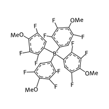 COc1c(F)cc([B-](c2cc(F)c(OC)c(F)c2F)(c2cc(F)c(OC)c(F)c2F)c2cc(F)c(OC)c(F)c2F)c(F)c1F